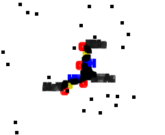 CNC(=O)CSCCNC(=O)c1cc(CNC(C)=O)cc(C(=O)NCCSCC(=O)NC)c1